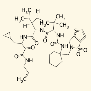 C=CCNC(=O)C(=O)C(CC1CC1)NC(=O)[C@@H]1[C@@H]2[C@H](CN1C(=O)[C@@H](NC(=O)NC1(CN3Cc4sccc4S3(=O)=O)CCCCC1)C(C)(C)C)C2(C)C